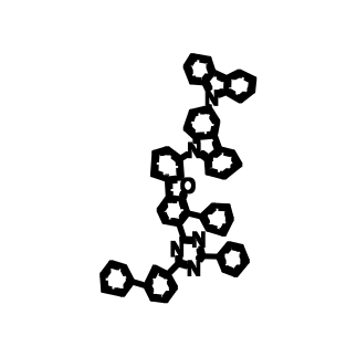 c1ccc(-c2cccc(-c3nc(-c4ccccc4)nc(-c4ccc5c(oc6c(-n7c8ccccc8c8cc(-n9c%10ccccc%10c%10ccccc%109)ccc87)cccc65)c4-c4ccccc4)n3)c2)cc1